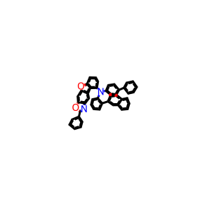 c1ccc(-c2ccc(N(c3ccccc3-c3ccc4ccccc4c3)c3cccc4oc5cc6oc(-c7ccccc7)nc6cc5c34)cc2)cc1